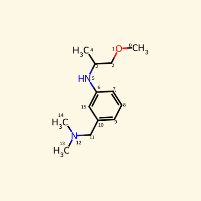 COCC(C)Nc1[c]ccc(CN(C)C)c1